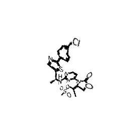 CC(OS(C)(=O)=O)C1COC(=O)N1c1ccnc(N[C@@H](C)c2cnc(-c3ccc(Cl)cc3)s2)n1